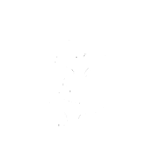 CCOC(=O)C(C)c1cc(C(C)(C)C)c(O)c(C(C)(C)C)c1.CCOC(=O)C(C)c1cc(C(C)(C)C)c(O)c(C(C)(C)C)c1